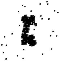 CC1C=C(c2ccc(-c3ccc4c5ccccc5n(-c5cccc6c5sc5ccccc56)c4c3)cc2)C=CC1N(c1ccccc1)c1ccccc1